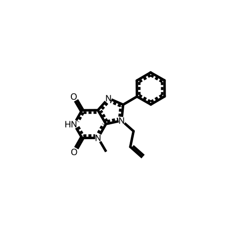 C=CCn1c(-c2ccccc2)nc2c(=O)[nH]c(=O)n(C)c21